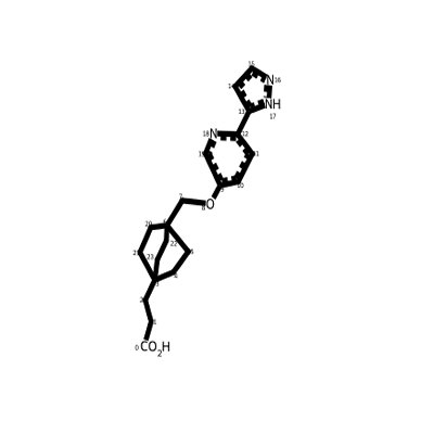 O=C(O)CCC12CCC(COc3ccc(-c4ccn[nH]4)nc3)(CC1)CC2